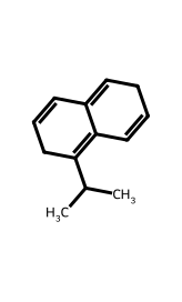 CC(C)C1=C2C=CCC=C2C=CC1